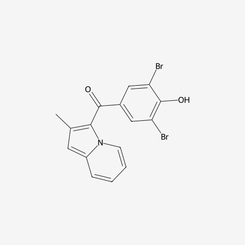 Cc1cc2ccccn2c1C(=O)c1cc(Br)c(O)c(Br)c1